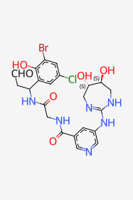 O=CCC(NC(=O)CNC(=O)c1cncc(NC2=NC[C@H](O)[C@@H](O)CN2)c1)c1cc(Cl)cc(Br)c1O